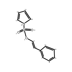 O=S(=O)(OC=Cc1ccccc1)n1cccc1